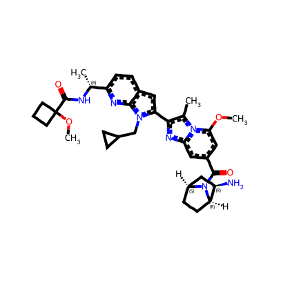 COc1cc(C(=O)N2[C@H]3CC[C@@H]2[C@H](N)C3)cc2nc(-c3cc4ccc([C@@H](C)NC(=O)C5(OC)CCC5)nc4n3CC3CC3)c(C)n12